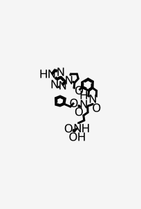 O=C(O)NCCCCC(NC(=O)OCc1ccccc1)C(=O)N1CCc2cccc(OCC3CCCN3c3ncnc4[nH]cnc34)c2C1